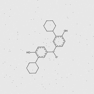 [O-][S+](c1ccc(O)c(C2CCCCC2)c1)c1ccc(O)c(C2CCCCC2)c1